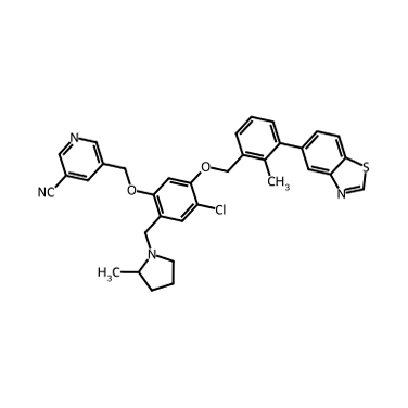 Cc1c(COc2cc(OCc3cncc(C#N)c3)c(CN3CCCC3C)cc2Cl)cccc1-c1ccc2scnc2c1